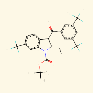 CC[C@H]1C(C(=O)c2cc(C(F)(F)F)cc(C(F)(F)F)c2)c2ccc(C(F)(F)F)cc2N1C(=O)OC(C)(C)C